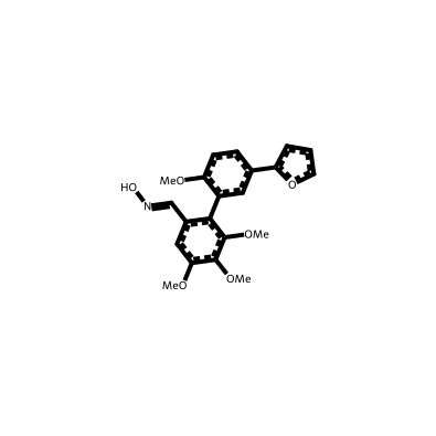 COc1ccc(-c2ccco2)cc1-c1c(C=NO)cc(OC)c(OC)c1OC